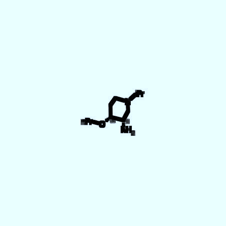 CCCO[C@@H]1CCN(C(C)C)C[C@@H]1N